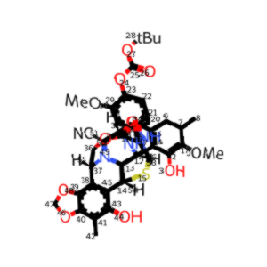 COC1=C(O)C2=C(CC1C)C[C@@H]1N[C@H]2C2[C@@H]3SC[C@]4(NCCc5cc(OC(=O)OC(C)(C)C)c(OC)cc54)C(=O)OC[C@@H](c4c5c(c(C)c(O)c43)OCO5)N2[C@H]1C#N